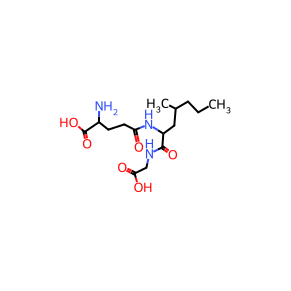 CCCC(C)CC(NC(=O)CCC(N)C(=O)O)C(=O)NCC(=O)O